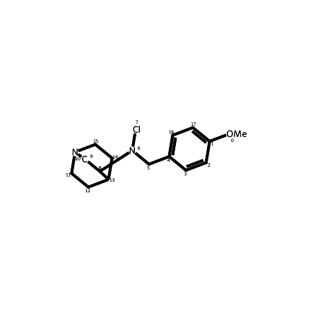 COc1ccc(CN(Cl)C2CN3CCC2CC3)cc1